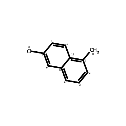 Cc1cccc2cc(Cl)ccc12